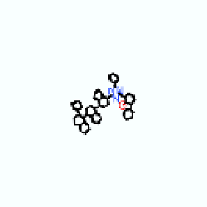 c1ccc(-c2nc(-c3ccc(-c4ccc(-c5c(-c6ccccc6)ccc6ccccc56)c5ccccc45)c4ccccc34)nc(-c3cccc4c3oc3ccccc34)n2)cc1